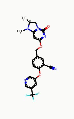 C[C@H]1Cn2c(cc(OCc3ccc(Oc4cncc(C(F)(F)F)c4)c(C#N)c3)nc2=O)N1C